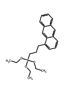 CCO[Si](CCCc1cccc2cc3ccccc3cc12)(OCC)OCC